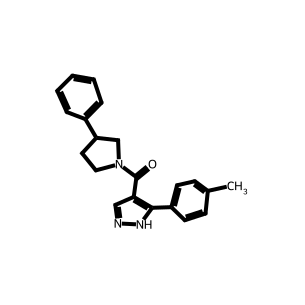 Cc1ccc(-c2[nH]ncc2C(=O)N2CCC(c3ccccc3)C2)cc1